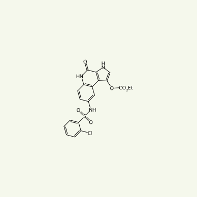 CCOC(=O)Oc1c[nH]c2c(=O)[nH]c3ccc(NS(=O)(=O)c4ccccc4Cl)cc3c12